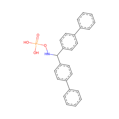 O=P(O)(O)ONC(c1ccc(-c2ccccc2)cc1)c1ccc(-c2ccccc2)cc1